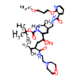 COCCCOc1ncccc1C(=O)NCC(CC(NC(=O)OC(C)(C)C)C(O)CC(C(=O)NCCN1CCOCC1)C(C)C)C(C)C